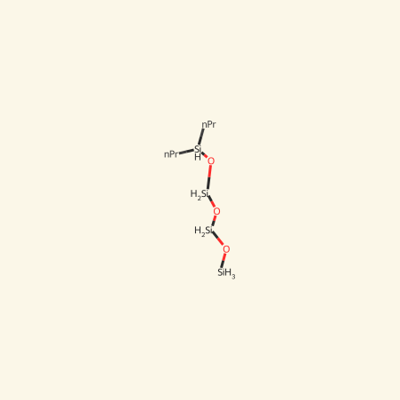 CCC[SiH](CCC)O[SiH2]O[SiH2]O[SiH3]